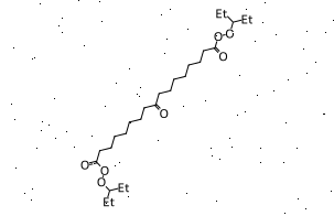 CCC(CC)OOC(=O)CCCCCCCC(=O)CCCCCCCC(=O)OOC(CC)CC